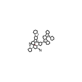 N#Cc1ccccc1-c1ccc(-c2ccc(-n3c4ccccc4c4c3ccc3c5ccccc5n(-c5ccccc5)c34)cc2-n2c3ccccc3c3cc4c(cc32)Cc2ccccc2-4)c(C#N)c1